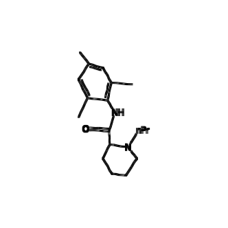 CCCN1CCCCC1C(=O)Nc1c(C)cc(C)cc1C